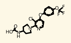 O=C(O)NC1CCN(c2nccc(Oc3ccc(OC(F)(F)F)cc3)c2Cl)CC1